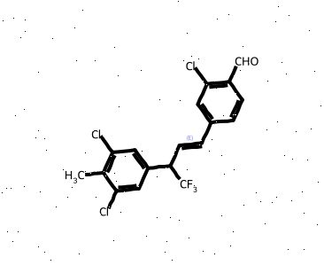 Cc1c(Cl)cc(C(/C=C/c2ccc(C=O)c(Cl)c2)C(F)(F)F)cc1Cl